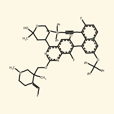 CC(C)C(Oc1cc(-c2c(Cl)cc3c(C4CCOC(C)(O)C4)nc(OCC4(C)CN(C)CC/C4=C\F)nc3c2F)c2c(C#C[Si](C(C)C)(C(C)C)C(C)C)c(F)ccc2c1)(C(C)C)C(C)C